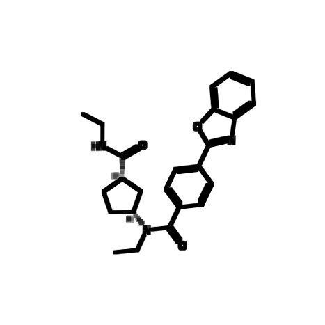 CCNC(=O)[C@H]1CC[C@@H](N(CC)C(=O)c2ccc(-c3nc4ccccc4o3)cc2)C1